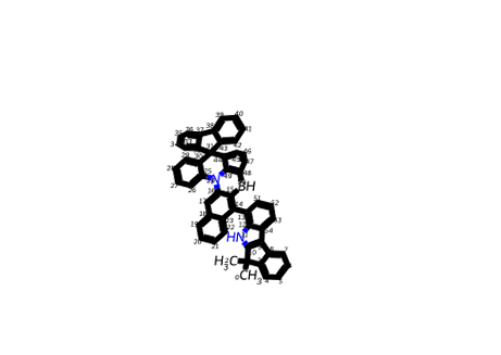 CC1(C)c2ccccc2-c2c1[nH]c1c(-c3c4c(cc5ccccc35)N3c5ccccc5C5(c6ccccc6-c6ccccc65)c5cccc(c53)B4)cccc21